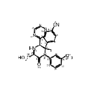 CC1(c2ccc(C#N)cc2)C(c2cnccn2)NC(C(=O)O)C(=O)N1c1cccc(C(F)(F)F)c1